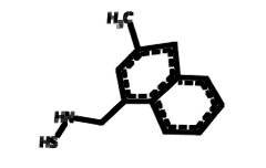 Cc1cc(CNS)c2ccccc2c1